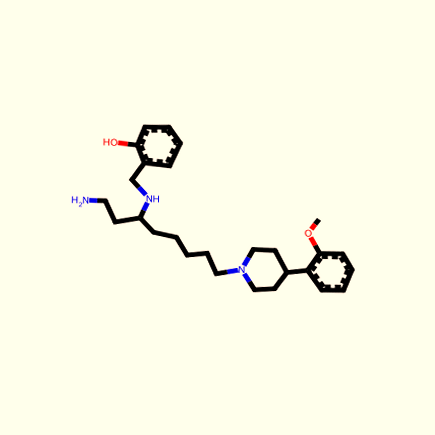 COc1ccccc1C1CCN(CCCCCC(CCN)NCc2ccccc2O)CC1